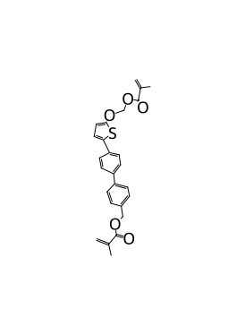 C=C(C)C(=O)OCOc1ccc(-c2ccc(-c3ccc(COC(=O)C(=C)C)cc3)cc2)s1